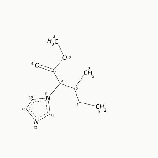 CCC(C)C(C(=O)OC)n1ccnc1